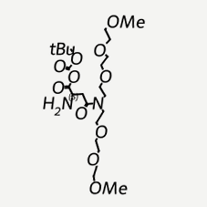 COCCOCCOCCN(CCOCCOCCOC)C(=O)C[C@H](N)C(=O)OC(=O)OC(C)(C)C